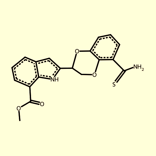 COC(=O)c1cccc2cc(C3COc4c(cccc4C(N)=S)O3)[nH]c12